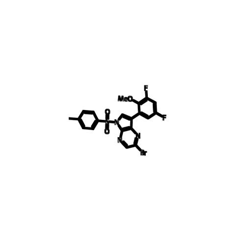 COc1c(F)cc(F)cc1-c1cn(S(=O)(=O)c2ccc(C)cc2)c2ncc(Br)nc12